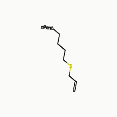 C=CCSCCCCCCCCC